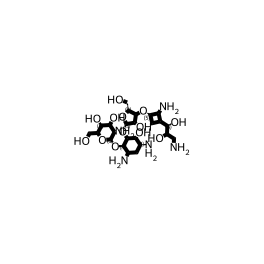 NCC(O)[C@@H](O)C1C[C@H](OC2C(O)[C@H](OC3C(O)[C@H](N)CC(N)[C@H]3O[C@H]3OC(CO)[C@@H](O)C(O)C3N)O[C@@H]2CO)C1N